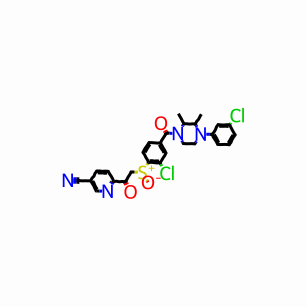 CC1C(C)N(c2cccc(Cl)c2)CCN1C(=O)c1ccc([S+]([O-])CC(=O)c2ccc(C#N)cn2)c(Cl)c1